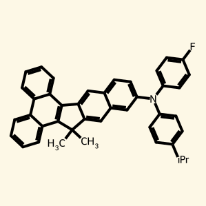 CC(C)c1ccc(N(c2ccc(F)cc2)c2ccc3cc4c(cc3c2)C(C)(C)c2c-4c3ccccc3c3ccccc23)cc1